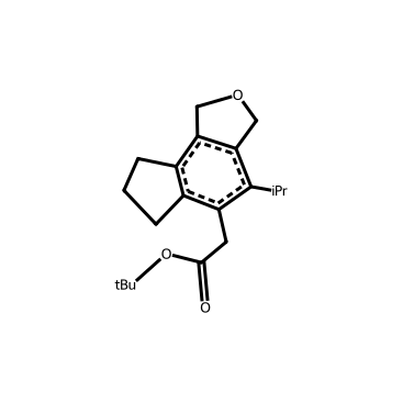 CC(C)c1c2c(c3c(c1CC(=O)OC(C)(C)C)CCC3)COC2